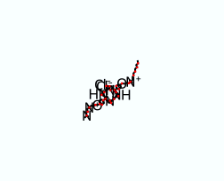 CCCCCCCCCC[N+](C)(C)CCCOc1ccc(-c2c3nc(cc4ccc([nH]4)c(-c4ccc(OCCC[N+](C)(C)CCCN(C)C)cc4)c4nc(cc5ccc2[nH]5)C=C4)C=C3)cc1.[Cl-].[Cl-]